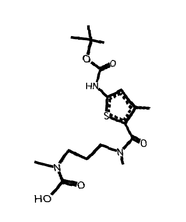 Cc1cc(NC(=O)OC(C)(C)C)sc1C(=O)N(C)CCCN(C)C(=O)O